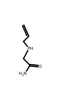 C=CCPCC(N)=O